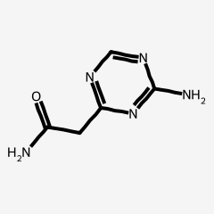 NC(=O)Cc1ncnc(N)n1